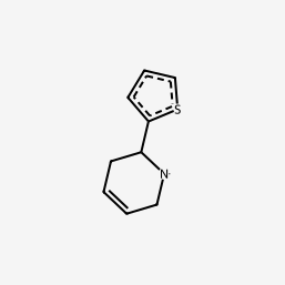 C1=CCC(c2cccs2)[N]C1